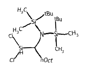 CCCCCCCCC(N([Si](C)(C)C(C)(C)C)[Si](C)(C)C(C)(C)C)[SiH](Cl)Cl